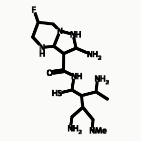 CNCC(CN)C(C(C)N)C(S)NC(=O)C1C(N)NN2CC(F)CNC12